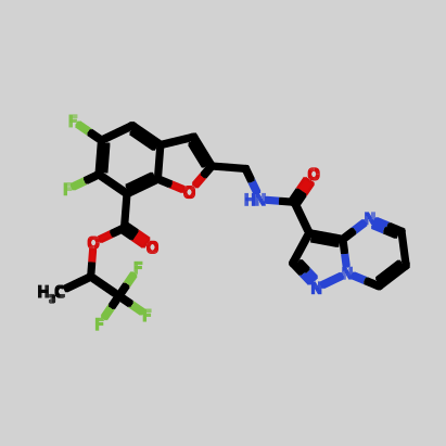 CC(OC(=O)c1c(F)c(F)cc2cc(CNC(=O)c3cnn4cccnc34)oc12)C(F)(F)F